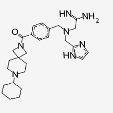 N=C(N)CN(Cc1ccc(C(=O)N2CC3(CCN(C4CCCCC4)CC3)C2)cc1)Cc1ncc[nH]1